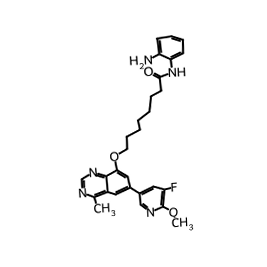 COc1ncc(-c2cc(OCCCCCCCC(=O)Nc3ccccc3N)c3ncnc(C)c3c2)cc1F